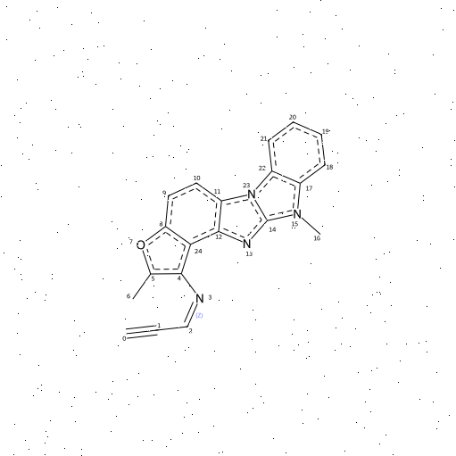 C#C/C=N\c1c(C)oc2ccc3c(nc4n(C)c5ccccc5n34)c12